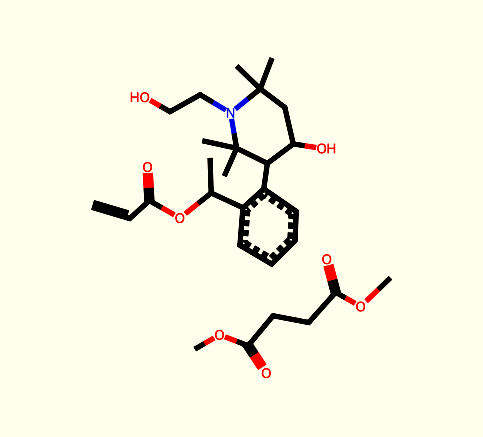 C=CC(=O)OC(C)c1ccccc1C1C(O)CC(C)(C)N(CCO)C1(C)C.COC(=O)CCC(=O)OC